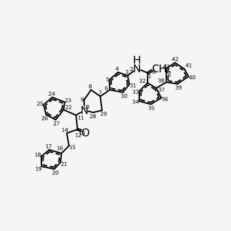 C=C(Nc1ccc(C2CCN(C(C(=O)CCc3ccccc3)c3ccccc3)CC2)cc1)c1ccccc1-c1ccccc1